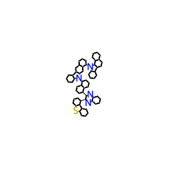 c1cc(-n2c3ccccc3c3ccc4ccccc4c32)c2cc3c(cc2c1)c1ccccc1n3-c1cccc2c(-c3nc4ccccc4nc3-c3cccc4sc5ccccc5c34)cccc12